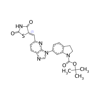 CC(C)(C)OC(=O)N1CCc2ccc(-n3cnc4ccc(/C=C5\SC(=O)NC5=O)nc43)cc21